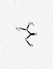 CC(C)SC(=O)N(C)P